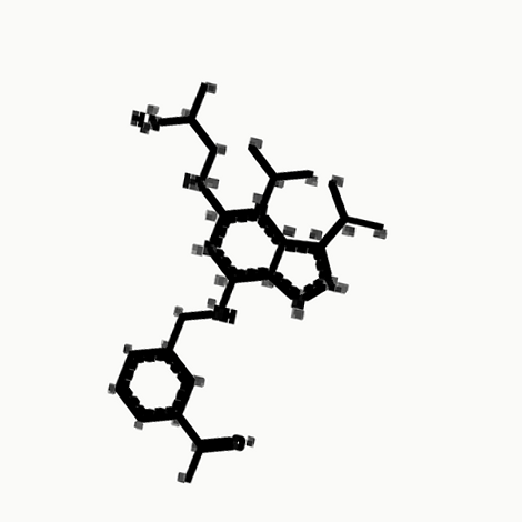 CC(=O)c1cccc(CNc2nc(NCC(C)N)n(C(C)C)c3c(C(C)C)nnc2-3)c1